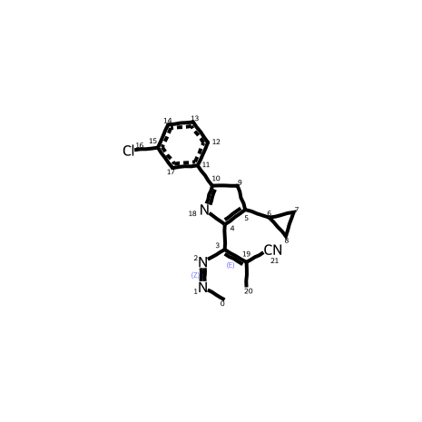 C/N=N\C(C1=C(C2CC2)CC(c2cccc(Cl)c2)=N1)=C(/C)C#N